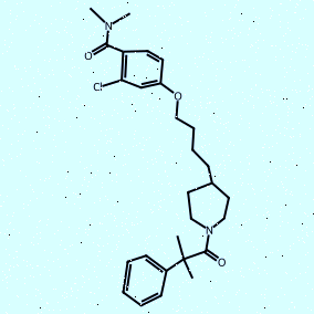 CN(C)C(=O)c1ccc(OCCCCC2CCN(C(=O)C(C)(C)c3ccccc3)CC2)cc1Cl